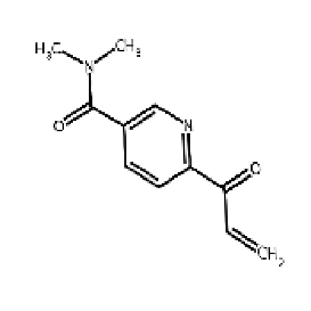 C=CC(=O)c1ccc(C(=O)N(C)C)cn1